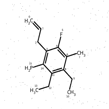 C=CCc1c(F)c(C)c(CC)c(CC)c1P